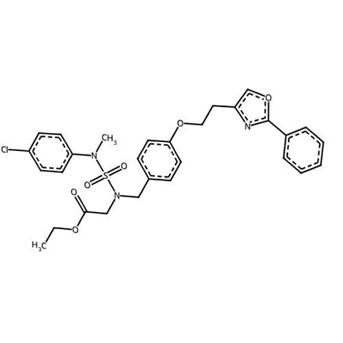 CCOC(=O)CN(Cc1ccc(OCCc2coc(-c3ccccc3)n2)cc1)S(=O)(=O)N(C)c1ccc(Cl)cc1